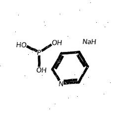 OP(O)O.[NaH].c1ccncc1